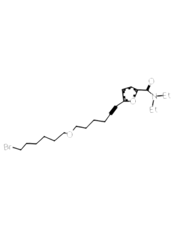 CCN(CC)C(=O)c1ccc(C#CCCCCOCCCCCCBr)o1